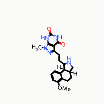 COc1cccc2c1CC[C@H]1CNC(CCc3nn(C)c4[nH]c(=O)[nH]c(=O)c34)[C@@H]21